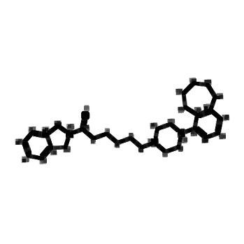 O=C(CCCCCN1CCN(c2cccc3c2CCCCC3)CC1)N1Cc2ccccc2C1